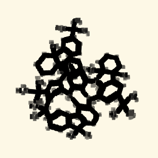 CC(C)(C)c1ccc2c(c1)C1(C)CCCCC1(C)N2c1cc2c3c(c1)N1c4c(cc(C(C)(C)C)cc4C4(C)CCCCC14C)B3c1ccc3c4c1N2c1cc(c(C(C)(C)C)cc1-c1ccccc1)C(C)(C)c1ccc(c-4c1)C3(C)C